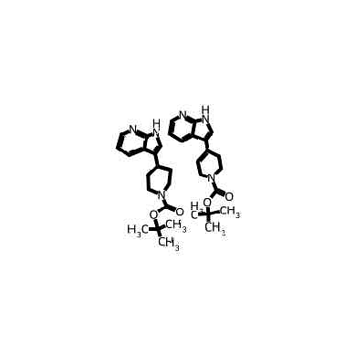 CC(C)(C)OC(=O)N1CC=C(c2c[nH]c3ncccc23)CC1.CC(C)(C)OC(=O)N1CCC(c2c[nH]c3ncccc23)CC1